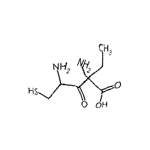 CCC(N)(C(=O)O)C(=O)C(N)CS